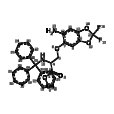 COC(=O)C(COc1cc2c(cc1N)OC(F)(F)O2)NC(c1ccccc1)(c1ccccc1)c1ccccc1